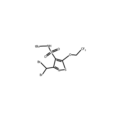 CC(C)(C)NS(=O)(=O)c1c(C(Br)Br)nsc1OCC(F)(F)F